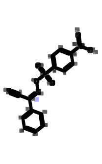 N#C/C(=N\OS(=O)(=O)c1ccc([N+](=O)[O-])cc1)c1ccccc1